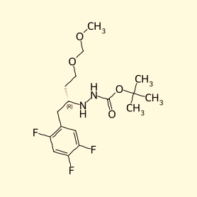 COCOCC[C@@H](Cc1cc(F)c(F)cc1F)NNC(=O)OC(C)(C)C